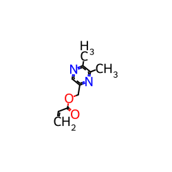 C=CC(=O)OCc1cnc(C)c(C)n1